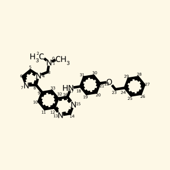 CN(C)Cn1ccnc1-c1ccc2ncnc(Nc3ccc(OCc4ccccc4)cc3)c2c1